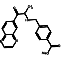 COC(=O)c1ccc(CNN(C)C(=O)c2ccc3nccnc3c2)cc1